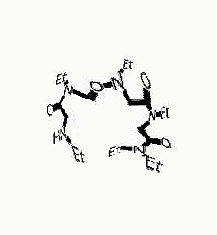 CCNCC(=O)N(CC)CON(CC)CC(=O)N(CC)CC(=O)N(CC)CC